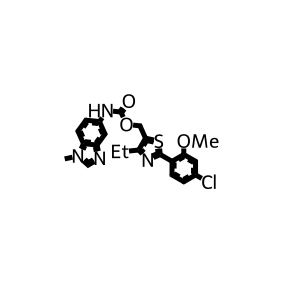 CCc1nc(-c2ccc(Cl)cc2OC)sc1COC(=O)Nc1ccc2c(c1)ncn2C